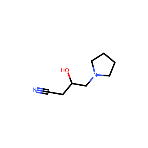 N#CCC(O)CN1CCCC1